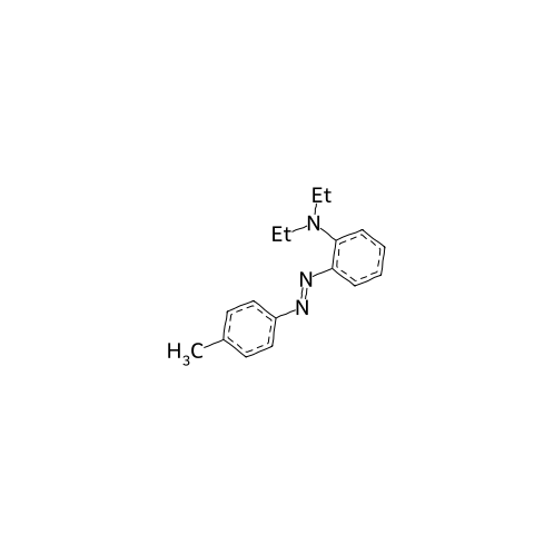 CCN(CC)c1ccccc1/N=N/c1ccc(C)cc1